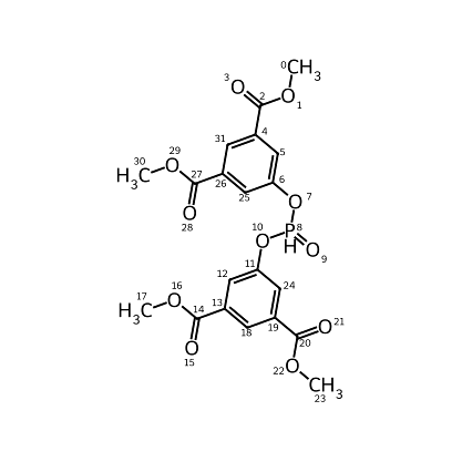 COC(=O)c1cc(O[PH](=O)Oc2cc(C(=O)OC)cc(C(=O)OC)c2)cc(C(=O)OC)c1